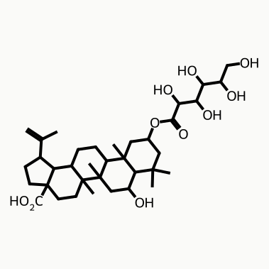 C=C(C)C1CCC2(C(=O)O)CCC3(C)C(CCC4C5(C)CC(OC(=O)C(O)C(O)C(O)C(O)CO)CC(C)(C)C5C(O)CC43C)C12